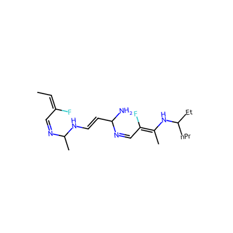 C/C=C(F)\C=N/C(C)N/C=C/C(N)/N=C\C(F)=C(/C)NC(CC)CCC